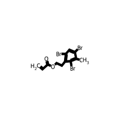 C=CC(=O)OCCc1c(Br)cc(Br)c(C)c1Br